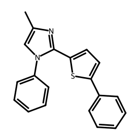 Cc1cn(-c2ccccc2)c(-c2ccc(-c3ccccc3)s2)n1